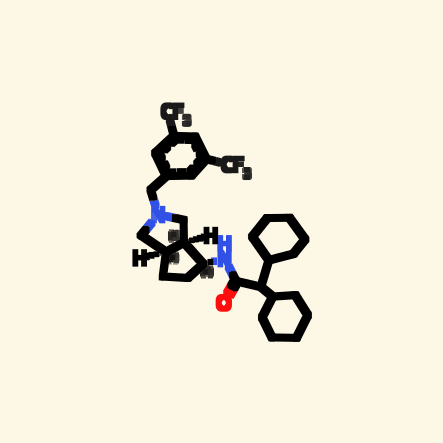 O=C(N[C@@H]1CC[C@H]2CN(Cc3cc(C(F)(F)F)cc(C(F)(F)F)c3)C[C@H]21)C(C1CCCCC1)C1CCCCC1